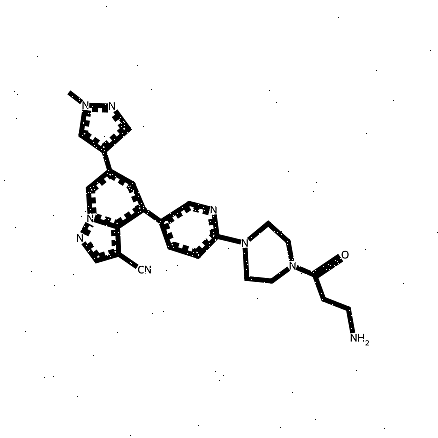 Cn1cc(-c2cc(-c3ccc(N4CCN(C(=O)CCN)CC4)nc3)c3c(C#N)cnn3c2)cn1